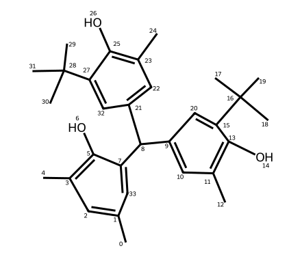 Cc1cc(C)c(O)c(C(c2cc(C)c(O)c(C(C)(C)C)c2)c2cc(C)c(O)c(C(C)(C)C)c2)c1